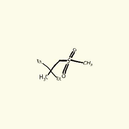 CCC(C)(CC)CS(C)(=O)=O